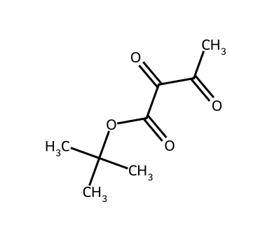 CC(=O)C(=O)C(=O)OC(C)(C)C